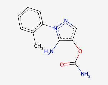 Cc1ccccc1-n1ncc(OC(N)=O)c1N